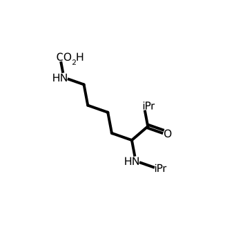 CC(C)NC(CCCCNC(=O)O)C(=O)C(C)C